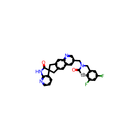 CC(C)(C)C(=O)N(Cc1cc(F)cc(F)c1)Cc1cnc2cc3c(cc2c1)CC1(C3)C(=O)Nc2ncccc21